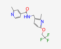 Cc1cc(C(=O)NCc2ccc(OCC(F)(F)F)nc2C)ccn1